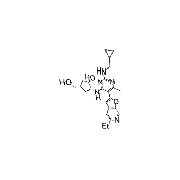 CCc1cc2cc(-c3c(C)nc(NCC4CC4)nc3N[C@@H]3C[C@H](CO)C[C@H]3O)oc2cn1